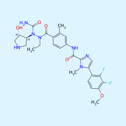 CCN(C(=O)c1ccc(NC(=O)c2ncc(-c3ccc(OC)c(F)c3F)n2C)cc1C)N(C(N)=O)[C@H]1CNC[C@@H]1O